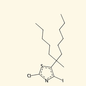 CCCCCCC(C)(CCCCC)c1sc(Cl)nc1I